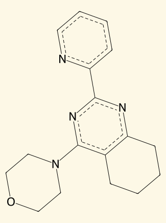 c1ccc(-c2nc3c(c(N4CCOCC4)n2)CCCC3)nc1